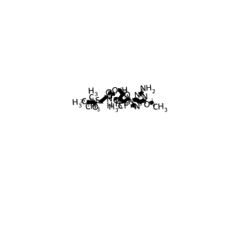 CCOc1nc(N)nc2c1ncn2[C@@H]1O[C@@H]2CO[P@](=O)(NCCSC(=O)C(C)(C)C)O[C@H]2[C@@]1(C)F